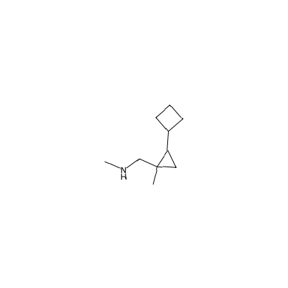 CNCC1(C)CC1C1CCC1